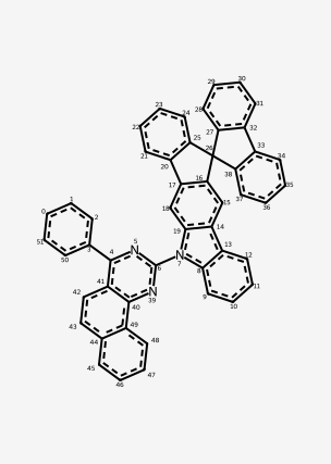 c1ccc(-c2nc(-n3c4ccccc4c4cc5c(cc43)-c3ccccc3C53c4ccccc4-c4ccccc43)nc3c2ccc2ccccc23)cc1